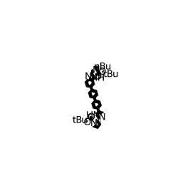 CCCCN(Cc1nc2ccc(-c3ccc(-c4ccc(-c5cnc([C@@H]6CCCN6C(=O)OC(C)(C)C)[nH]5)cc4)cc3)cc2[nH]1)C(=O)OC(C)(C)C